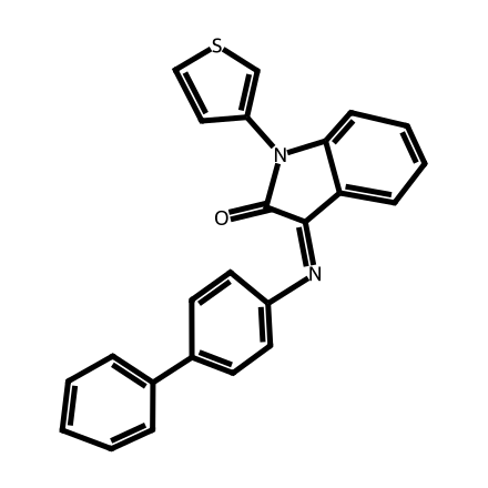 O=C1C(=Nc2ccc(-c3ccccc3)cc2)c2ccccc2N1c1ccsc1